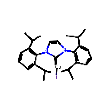 CC(C)c1cccc(C(C)C)c1-n1ccn(-c2c(C(C)C)cccc2C(C)C)[c]1=[Cu][I]